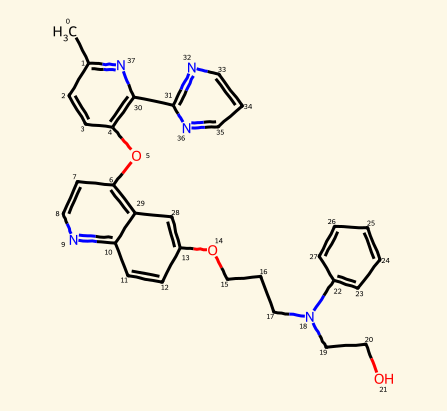 Cc1ccc(Oc2ccnc3ccc(OCCCN(CCO)c4ccccc4)cc23)c(-c2ncccn2)n1